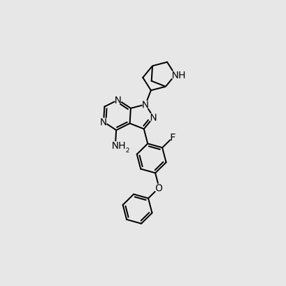 Nc1ncnc2c1c(-c1ccc(Oc3ccccc3)cc1F)nn2C1CC2CNC1C2